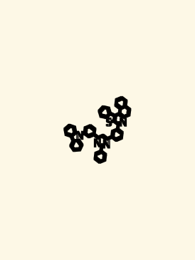 c1ccc(-c2nc(-c3cccc(-c4nc5ccc6ccccc6c5c5c4sc4ccccc45)c3)cc(-c3cccc(-n4c5ccccc5c5ccccc54)c3)n2)cc1